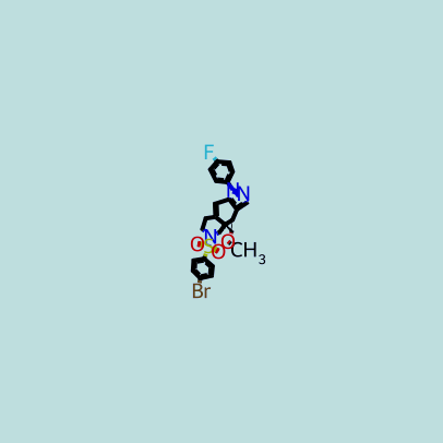 COC[C@]12Cc3cnn(-c4ccc(F)cc4)c3C=C1CCN(S(=O)(=O)c1ccc(Br)cc1)C2